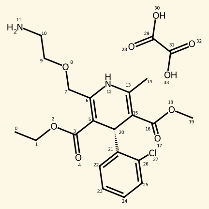 CCOC(=O)C1=C(COCCN)NC(C)=C(C(=O)OC)[C@@H]1c1ccccc1Cl.O=C(O)C(=O)O